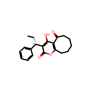 CC[C@@H](c1ccccc1)c1c(O)c2c(oc1=O)CCCCCC2=O